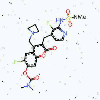 CNS(=O)(=O)Nc1nccc(Cc2c(CN3CCC3)c3cc(F)c(OC(=O)N(C)C)cc3oc2=O)c1F